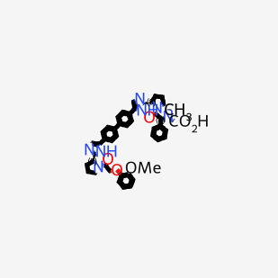 COc1ccccc1OCC(=O)N1CCC[C@H]1c1ncc(-c2ccc(-c3ccc(-c4cnc([C@@H]5CCCN5C(=O)[C@@H](c5ccccc5)N(C)C(=O)O)[nH]4)cc3)cc2)[nH]1